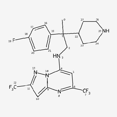 CC(CNc1cc(C(F)(F)F)nc2cc(C(F)(F)F)nn12)(c1ccc(F)cc1)C1CCNCC1